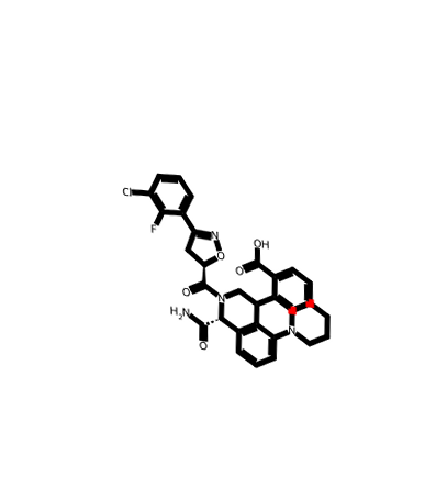 NC(=O)[C@H]1c2cccc(N3CCCCC3)c2C(c2ccccc2C(=O)O)CN1C(=O)[C@H]1CC(c2cccc(Cl)c2F)=NO1